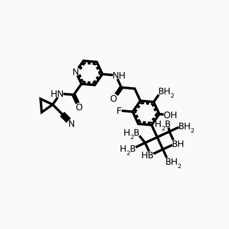 Bc1c(O)c(C23C(B)(B)BC2(B)BC3(B)B)cc(F)c1CC(=O)Nc1ccnc(C(=O)NC2(C#N)CC2)c1